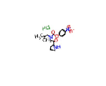 CC(C)CN(CC(=O)[C@@H]1CCCN1)C(=O)Oc1ccc([N+](=O)[O-])cc1.Cl